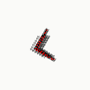 CNC(OC)=[N+](C)C.CNC(OC)=[N+](C)C.CNC(OC)=[N+](C)C.CNC(OC)=[N+](C)C.CNC(OC)=[N+](C)C.CNC(OC)=[N+](C)C.CNC(OC)=[N+](C)C.CNC(OC)=[N+](C)C.CNC(OC)=[N+](C)C.CNC(OC)=[N+](C)C.CNC(OC)=[N+](C)C.CNC(OC)=[N+](C)C.O=P([O-])([O-])F.O=P([O-])([O-])F.O=P([O-])([O-])F.O=P([O-])([O-])F.O=P([O-])([O-])F.O=P([O-])([O-])F